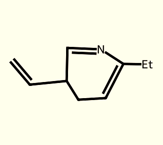 C=CC1C=NC(CC)=CC1